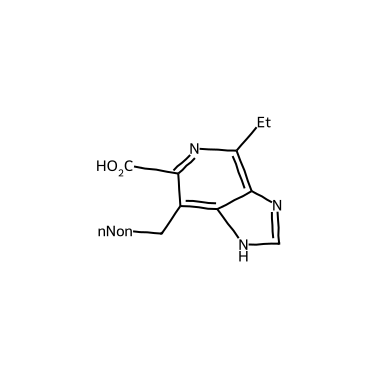 CCCCCCCCCCc1c(C(=O)O)nc(CC)c2nc[nH]c12